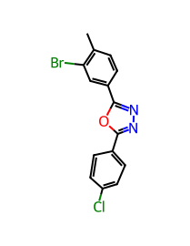 Cc1ccc(-c2nnc(-c3ccc(Cl)cc3)o2)cc1Br